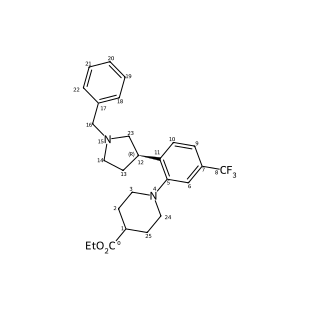 CCOC(=O)C1CCN(c2cc(C(F)(F)F)ccc2[C@H]2CCN(Cc3ccccc3)C2)CC1